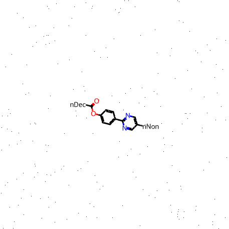 CCCCCCCCCCC(=O)Oc1ccc(-c2ncc(CCCCCCCCC)cn2)cc1